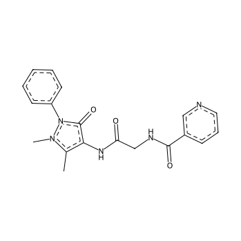 Cc1c(NC(=O)CNC(=O)c2cccnc2)c(=O)n(-c2ccccc2)n1C